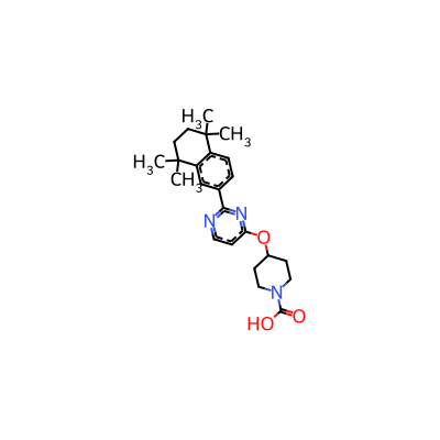 CC1(C)CCC(C)(C)c2cc(-c3nccc(OC4CCN(C(=O)O)CC4)n3)ccc21